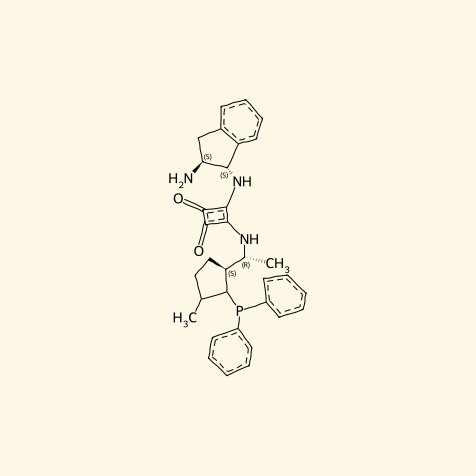 CC1CC[C@@H]([C@@H](C)Nc2c(N[C@H]3c4ccccc4C[C@@H]3N)c(=O)c2=O)C1P(c1ccccc1)c1ccccc1